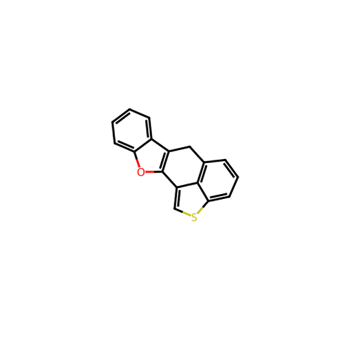 c1ccc2c3c(oc2c1)-c1csc2cccc(c12)C3